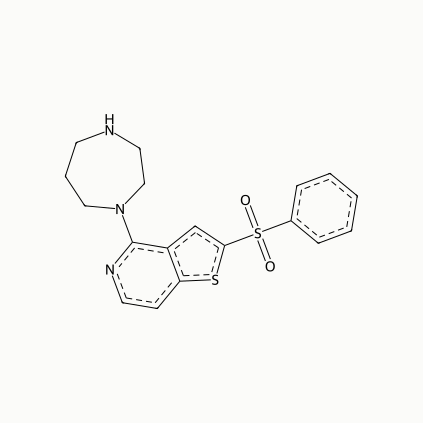 O=S(=O)(c1ccccc1)c1cc2c(N3CCCNCC3)nccc2s1